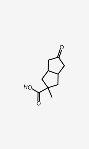 CC1(C(=O)O)CC2CC(=O)CC2C1